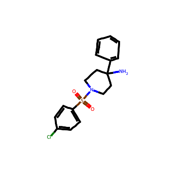 NC1(c2ccccc2)CCN(S(=O)(=O)c2ccc(Cl)cc2)CC1